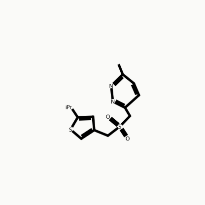 Cc1ccc(CS(=O)(=O)Cc2csc(C(C)C)c2)nn1